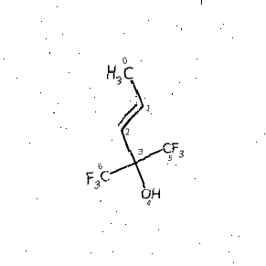 C/C=C/C(O)(C(F)(F)F)C(F)(F)F